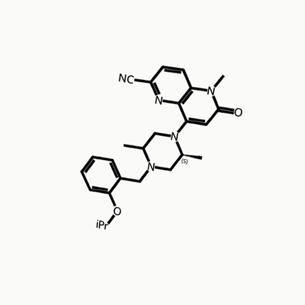 CC(C)Oc1ccccc1CN1C[C@H](C)N(c2cc(=O)n(C)c3ccc(C#N)nc23)CC1C